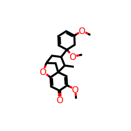 COC1=CC=CC(OC)(C2CC3CC4(C=C(OC)C(=O)C=C4O3)C2C)C1